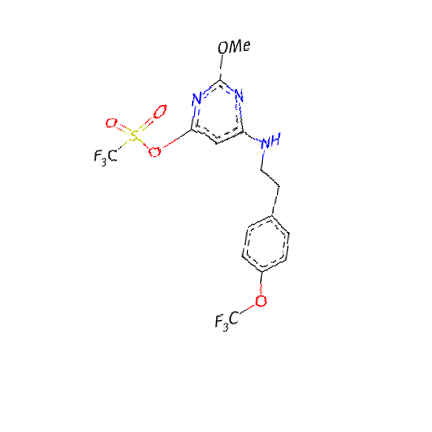 COc1nc(NCCc2ccc(OC(F)(F)F)cc2)cc(OS(=O)(=O)C(F)(F)F)n1